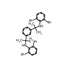 CC(C)c1cccc(C(C)C)c1NC(C)(C)c1cccc(C(C)(C)Nc2c(C(C)C)cccc2C(C)C)c1